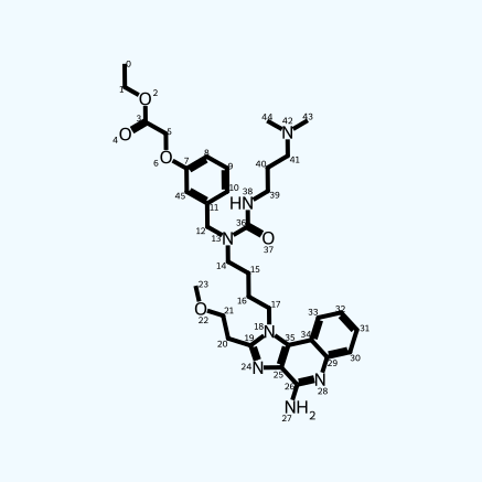 CCOC(=O)COc1cccc(CN(CCCCn2c(CCOC)nc3c(N)nc4ccccc4c32)C(=O)NCCCN(C)C)c1